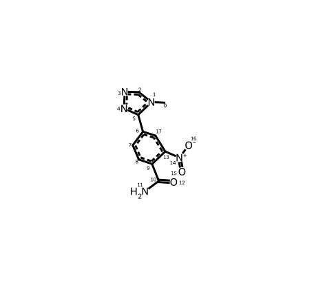 Cn1cnnc1-c1ccc(C(N)=O)c([N+](=O)[O-])c1